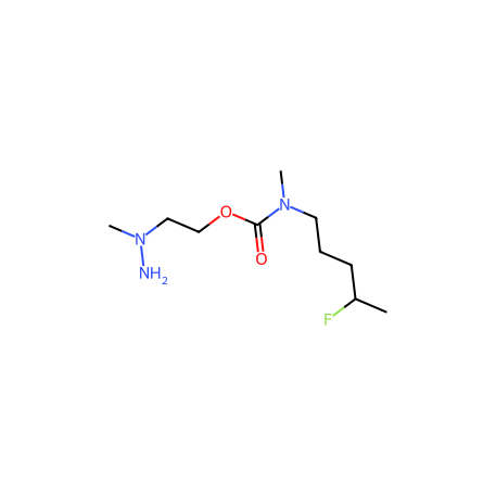 CC(F)CCCN(C)C(=O)OCCN(C)N